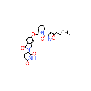 CCCc1cc(C(=O)N2CCCC[C@H]2COc2ccc3c(c2)CN(C2CCC(=O)NC2=O)C3=O)no1